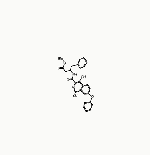 CC(C)(C)OC(=O)CC(Cc1ccccc1)NC(=O)c1nc(C#N)c2cc(Oc3ccccc3)ccc2c1O